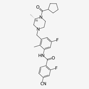 Cc1c(CN2CCN(C(=O)C3CCCC3)[C@@H](C)C2)cc(F)cc1NC(=O)c1ccc(C#N)cc1F